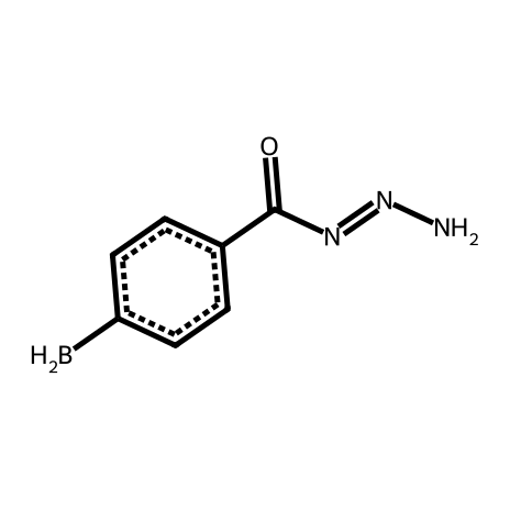 Bc1ccc(C(=O)N=NN)cc1